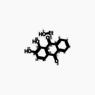 CCO.O=C1c2ccccc2C(=O)c2c1ccc(O)c2O